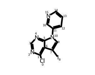 Clc1ncnc2c1c(I)cn2-c1cccnc1